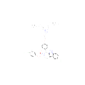 COCCN(CCOC)CC(O)COc1ccc(C2c3c(c4cc(Cl)ccc4n3C)CCN2C(=O)OC2=C[C@H](C)C(Cl)C=C2)cc1